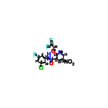 O=C(Nc1cc(F)cc(Cl)c1)c1cc([N+](=O)[O-])cnc1OCC(F)F